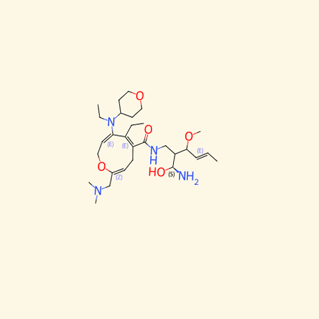 C/C=C/C(OC)C(CNC(=O)/C1=C(CC)/C(N(CC)C2CCOCC2)=C\CO/C(CN(C)C)=C\C1)[C@@H](N)O